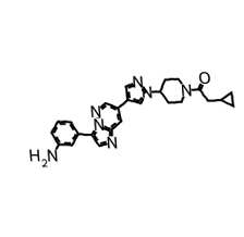 Nc1cccc(-c2cnc3cc(-c4cnn(C5CCN(C(=O)CC6CC6)CC5)c4)cnn23)c1